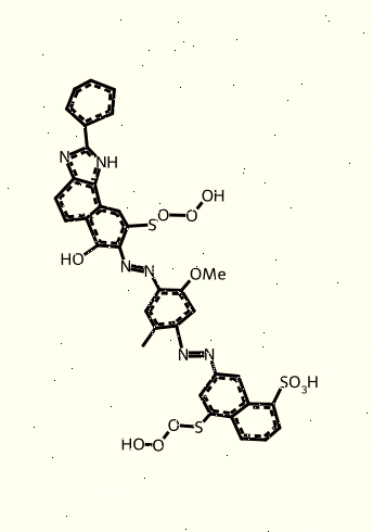 COc1cc(/N=N/c2cc(SOOO)c3cccc(S(=O)(=O)O)c3c2)c(C)cc1/N=N/c1c(SOOO)cc2c(ccc3nc(-c4ccccc4)[nH]c32)c1O